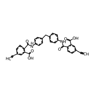 C#Cc1ccc(C(=O)Nc2ccc(Cc3ccc(NC(=O)c4ccc(C#C)cc4C(=O)O)cc3)cc2)c(C(=O)O)c1